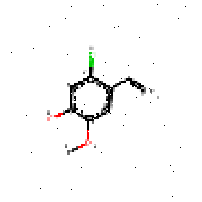 C=Cc1cc(OCC)c(O)cc1Cl